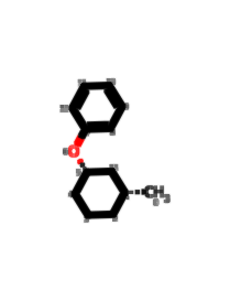 C[C@@H]1CCC[C@H](Oc2ccccc2)C1